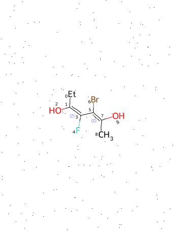 CC/C(O)=C(F)\C(Br)=C(/C)O